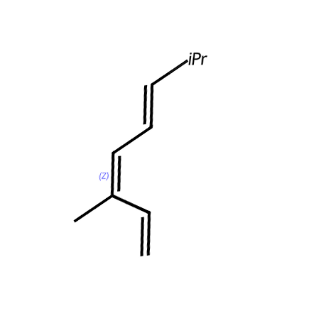 C=C/C(C)=C\C=CC(C)C